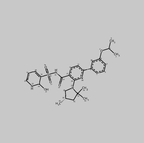 CC(C)Oc1cccc(-c2ccc(C(=O)NS(=O)(=O)C3=CC=CNC3O)c(N3C[C@@H](C)CC3(C)C)n2)c1